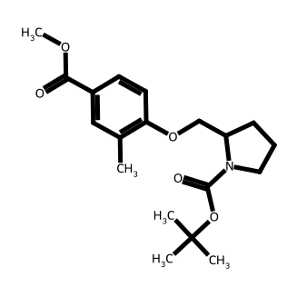 COC(=O)c1ccc(OCC2CCCN2C(=O)OC(C)(C)C)c(C)c1